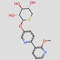 COc1ncccc1-c1ccc(O[C@@H]2SC[C@@H](O)[C@H](O)[C@H]2O)cn1